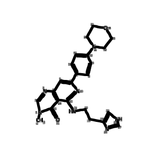 Cn1cnc2cc(-c3ccc(N4CCOCC4)cc3)nc(NCCc3c[nH]cn3)c2c1=O